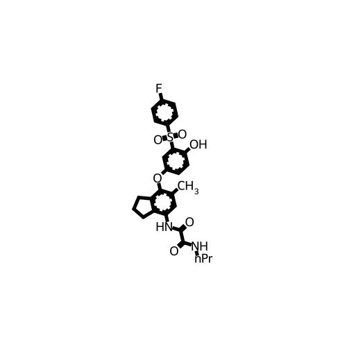 CCCNC(=O)C(=O)Nc1cc(C)c(Oc2ccc(O)c(S(=O)(=O)c3ccc(F)cc3)c2)c2c1CCC2